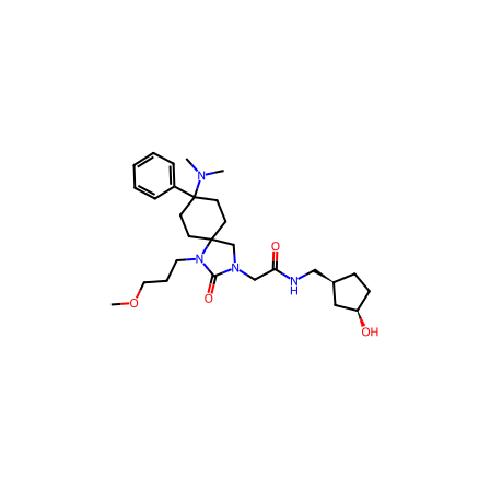 COCCCN1C(=O)N(CC(=O)NC[C@H]2CC[C@@H](O)C2)CC12CCC(c1ccccc1)(N(C)C)CC2